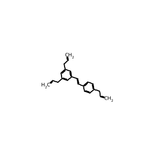 C=CCc1ccc(C=Cc2cc(CC=C)cc(CC=C)c2)cc1